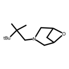 CC(C)(C)C(C)(C)CN1CC2CC(C1)O2